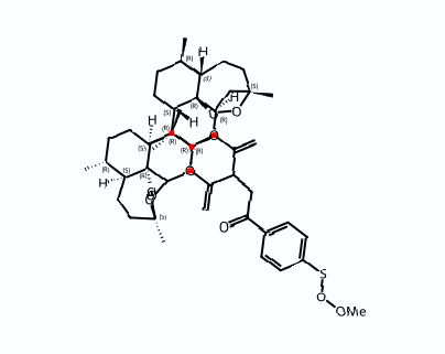 C=C(C[C@H]1OC2O[C@]3(C)CC[C@H]4[C@H](C)CC[C@@H]([C@H]1C)[C@@]24OO3)C(CC(=O)c1ccc(SOOC)cc1)C(=C)C[C@H]1O[C@@H]2C[C@]3(C)CC[C@H]4[C@H](C)CC[C@@H]([C@H]1C)[C@@]24OO3